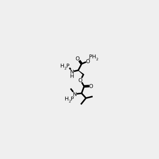 CC(C)C(C(=O)OC[C@@H](NP)C(=O)OP)N(C)P